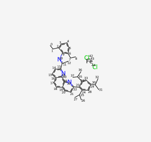 CCc1cccc(CC)c1N=C(C)c1ccc2ccc3ccc(-c4c(C(C)C)cc(C(C)C)cc4C(C)C)nc3c2n1.[Cl][Fe][Cl]